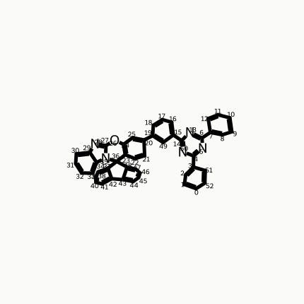 c1ccc(-c2nc(-c3ccccc3)nc(-c3cccc(-c4ccc5c(c4)Oc4nc6ccccc6n4C54c5ccccc5-c5ccccc54)c3)n2)cc1